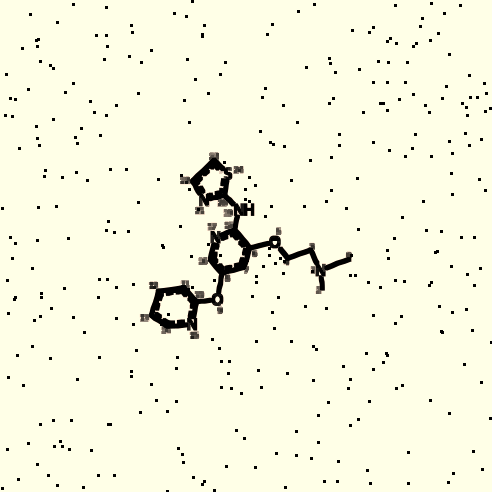 CN(C)CCOc1cc(Oc2ccccn2)cnc1Nc1nccs1